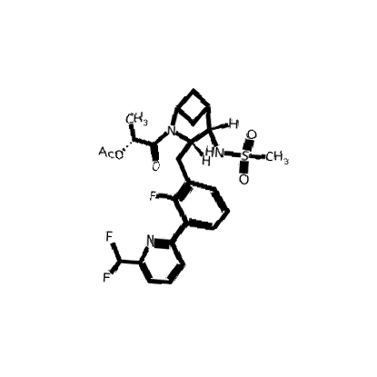 CC(=O)O[C@H](C)C(=O)N1C2CC(C2)[C@H](NS(C)(=O)=O)[C@@H]1Cc1cccc(-c2cccc(C(F)F)n2)c1F